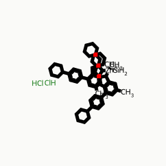 Cc1cc(-c2ccc(C3CCCCC3)cc2)c2c(c1)[CH]([Zr]([CH3])([CH3])(=[SiH2])[CH]1C(CC3CCCCC3)=Cc3c(-c4ccc(C5CCCCC5)cc4)cc(C)cc31)C(CC1CCCCC1)=C2.Cl.Cl